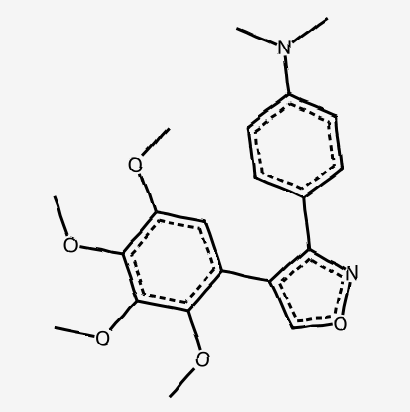 COc1cc(-c2conc2-c2ccc(N(C)C)cc2)c(OC)c(OC)c1OC